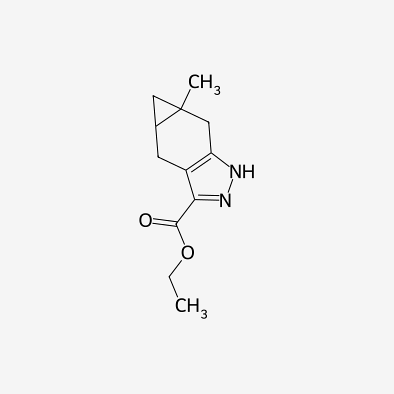 CCOC(=O)c1n[nH]c2c1CC1CC1(C)C2